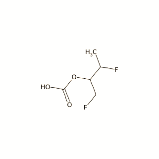 CC(F)C(CF)OC(=O)O